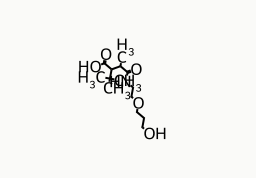 CC(C(=O)NCCOCCCO)C(C(=O)O)C(C)(C)C